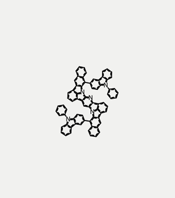 c1ccc(-n2c3ccccc3c3cc(-c4c5ccccc5cc5c6cccc7c8nc9c(cc8n(c45)c67)c4cccc5c6cc7ccccc7c(-c7ccc8c(c7)c7ccccc7n8-c7ccccc7)c6n9c45)ccc32)cc1